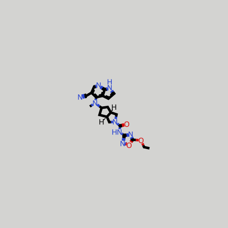 CCOc1nc(NC(=O)N2C[C@H]3CC(N(C)c4c(C#N)cnc5[nH]ccc45)C[C@H]3C2)no1